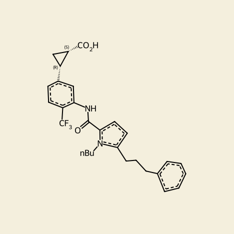 CCCCn1c(CCCc2ccccc2)ccc1C(=O)Nc1cc([C@@H]2C[C@@H]2C(=O)O)ccc1C(F)(F)F